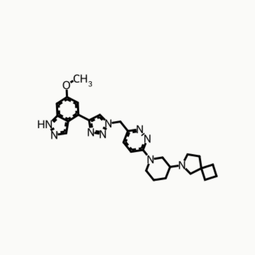 COc1cc(-c2cn(Cc3ccc(N4CCCC(N5CCC6(CCC6)C5)C4)nn3)nn2)c2cn[nH]c2c1